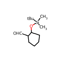 CC(C)(C)[Si](C)(C)OC1CCCCC1C=O